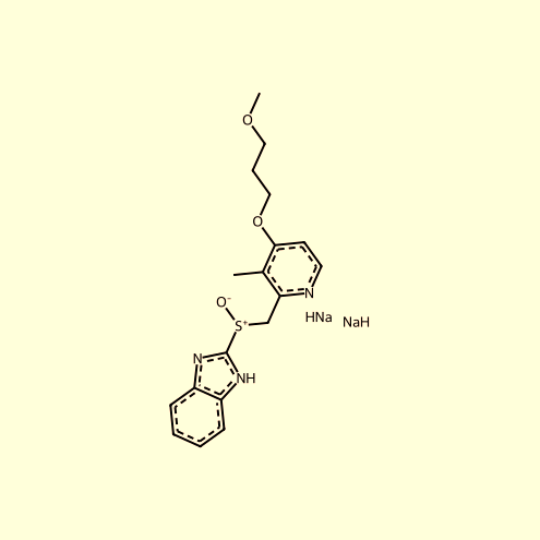 COCCCOc1ccnc(C[S+]([O-])c2nc3ccccc3[nH]2)c1C.[NaH].[NaH]